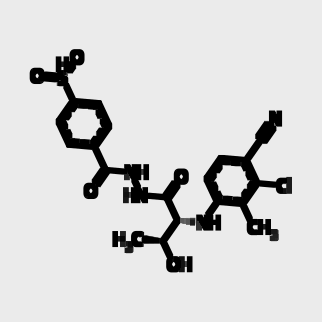 Cc1c(N[C@@H](C(=O)NNC(=O)c2ccc([SH](=O)=O)cc2)[C@H](C)O)ccc(C#N)c1Cl